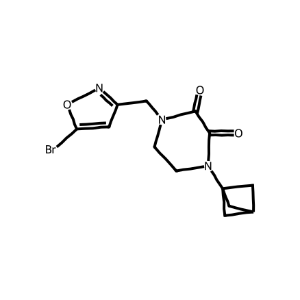 O=C1C(=O)N(C23CC(C2)C3)CCN1Cc1cc(Br)on1